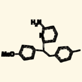 COc1ccc(C(Cc2ccc(C)cc2)c2cccc(N)n2)cc1